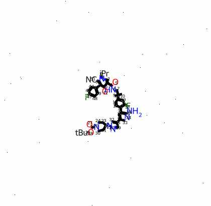 CC(C)n1cc(C(=O)NCC(C)(C)c2ccc(-c3cc(-c4cnn(C5CCN(C(=O)OC(C)(C)C)CC5)c4)cnc3N)c(F)c2)c(=O)c(-c2ccc(F)cc2)c1C#N